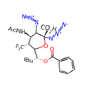 CC[C@@H](C)[C@@H](OC(=O)c1ccccc1)C1O[C@](N=[N+]=[N-])(C(=O)O)C(N=[N+]=[N-])[C@H](NC(C)=O)[C@H]1C(F)(F)F